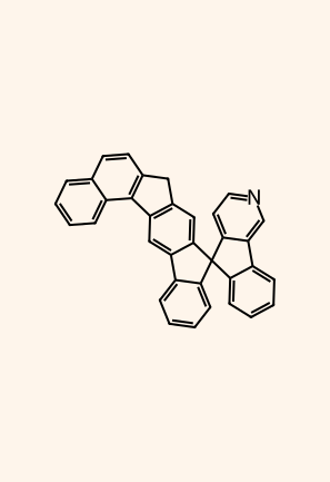 c1ccc2c(c1)-c1cnccc1C21c2ccccc2-c2cc3c(cc21)Cc1ccc2ccccc2c1-3